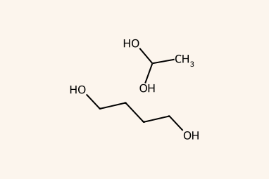 CC(O)O.OCCCCO